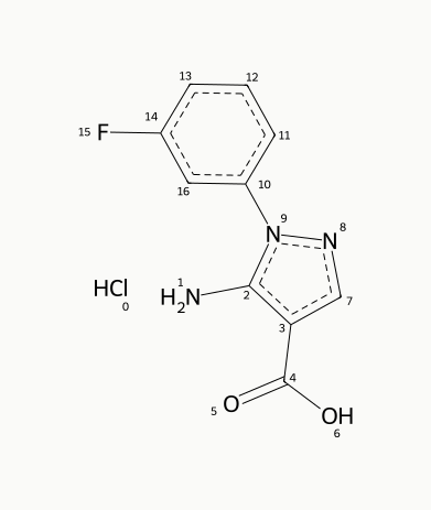 Cl.Nc1c(C(=O)O)cnn1-c1cccc(F)c1